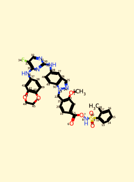 COc1cc(C(=O)ONS(=O)(=O)c2ccccc2C)ccc1Cn1ncc2cc(Nc3ncc(F)c(Nc4ccc5c(c4)OCCO5)n3)ccc21